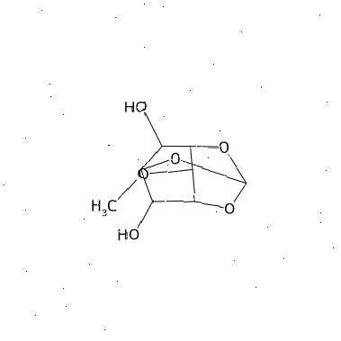 COC1C2OC3OC(C2O)C(O)C1O3